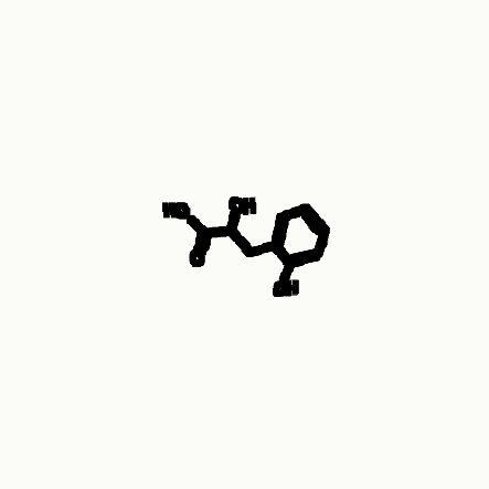 O=C(O)C(O)Cc1ccccc1O